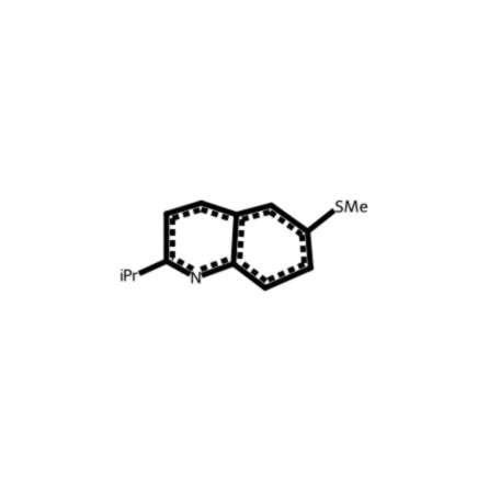 CSc1ccc2nc(C(C)C)ccc2c1